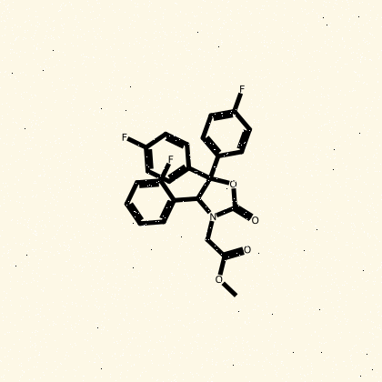 COC(=O)CN1C(=O)OC(c2ccc(F)cc2)(c2ccc(F)cc2)C1c1ccccc1F